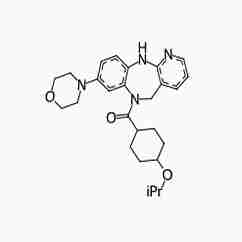 CC(C)OC1CCC(C(=O)N2Cc3cccnc3Nc3ccc(N4CCOCC4)cc32)CC1